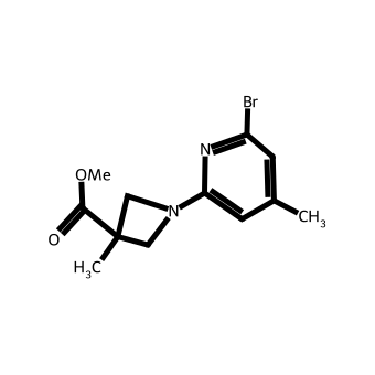 COC(=O)C1(C)CN(c2cc(C)cc(Br)n2)C1